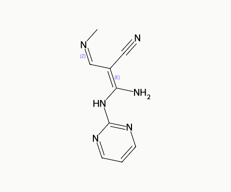 C/N=C\C(C#N)=C(\N)Nc1ncccn1